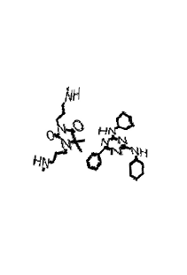 CNCCCN1C(=O)N(CCCNC)C(C)(C)C1=O.c1ccc(-c2nc(NC3CCCCC3)nc(NC3CCCCC3)n2)cc1